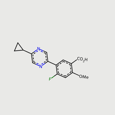 COc1cc(F)c(-c2cnc(C3CC3)cn2)cc1C(=O)O